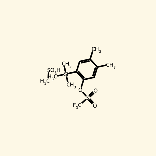 CS(=O)(=O)O.Cc1cc(OS(=O)(=O)C(F)(F)F)c([Si](C)(C)C)cc1C